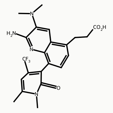 Cc1cc(C(F)(F)F)c(-c2ccc(CCC(=O)O)c3cc(N(C)C)c(N)nc23)c(=O)n1C